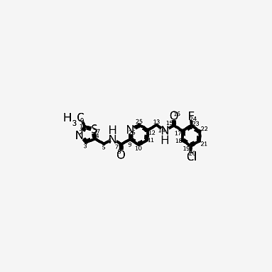 Cc1ncc(CNC(=O)c2ccc(CNC(=O)c3cc(Cl)ccc3F)cn2)s1